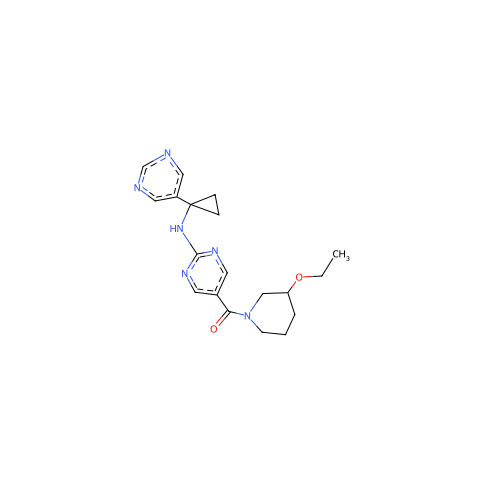 CCOC1CCCN(C(=O)c2cnc(NC3(c4cncnc4)CC3)nc2)C1